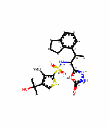 COc1c(C(C)(C)O)csc1S(=O)(=O)NC(c1n[nH]c(=O)o1)C(C)c1cccc2c1CCC2